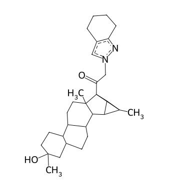 CC1(O)CCC2C(CCC3C2CCC2(C)C3C3C4C3(C)C42C(=O)Cn2cc3c(n2)CCCC3)C1